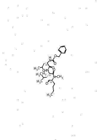 CCCC[C@@H](C=O)N(C)C(=O)[C@H](CC(C)C)NC(=O)[C@H](CC(C)C)NC(=O)OCc1ccccc1